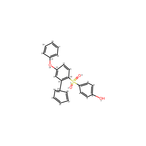 O=S(=O)(c1ccc(O)cc1)c1ccc(Oc2ccccc2)cc1-c1ccccc1